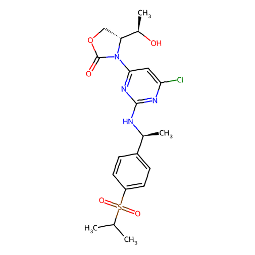 CC(C)S(=O)(=O)c1ccc([C@H](C)Nc2nc(Cl)cc(N3C(=O)OC[C@@H]3[C@@H](C)O)n2)cc1